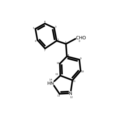 O=CC(c1ccccc1)c1ccc2nc[nH]c2c1